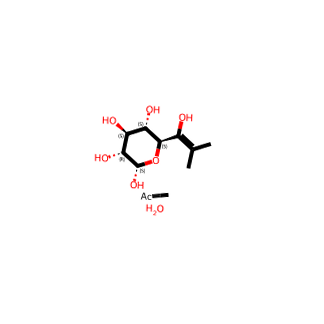 CC(C)=C(O)[C@H]1O[C@H](O)[C@H](O)[C@@H](O)[C@@H]1O.CC(C)=O.O